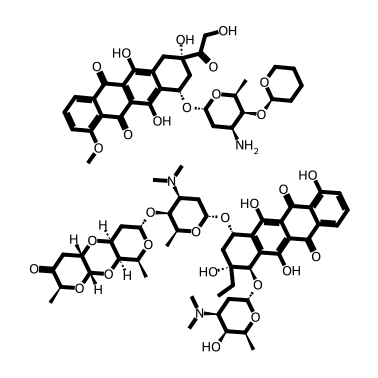 CC[C@@]1(O)C[C@H](O[C@H]2C[C@H](N(C)C)[C@H](O[C@H]3C[C@@H]4O[C@H]5CC(=O)[C@H](C)O[C@H]5O[C@@H]4[C@H](C)O3)[C@H](C)O2)c2c(O)c3c(c(O)c2[C@H]1O[C@H]1C[C@H](N(C)C)[C@H](O)[C@H](C)O1)C(=O)c1cccc(O)c1C3=O.COc1cccc2c1C(=O)c1c(O)c3c(c(O)c1C2=O)C[C@@](O)(C(=O)CO)C[C@@H]3O[C@H]1C[C@H](N)[C@H](O[C@@H]2CCCCO2)[C@H](C)O1